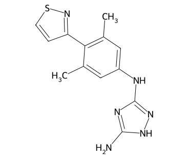 Cc1cc(Nc2n[nH]c(N)n2)cc(C)c1-c1ccsn1